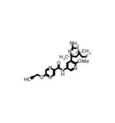 C#CCOc1cnc(C(=O)Nc2cnc(OC)c([C@]3(C)C[C@](C)(CF)SC(N)=N3)c2)cn1